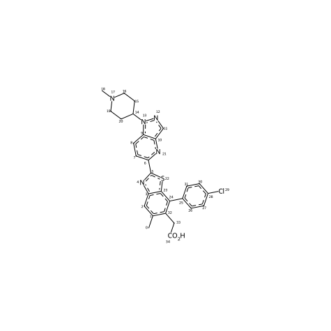 Cc1cc2nc(-c3ccc4c(cnn4C4CCN(C)CC4)n3)sc2c(-c2ccc(Cl)cc2)c1CC(=O)O